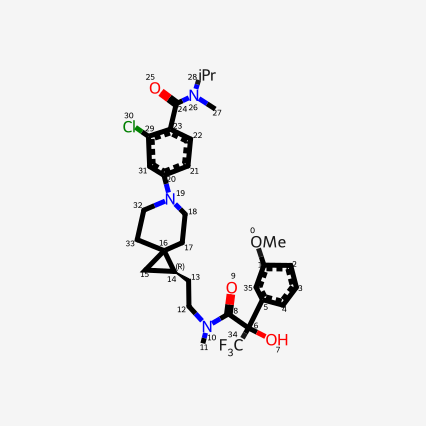 COc1cccc(C(O)(C(=O)N(C)CC[C@H]2CC23CCN(c2ccc(C(=O)N(C)C(C)C)c(Cl)c2)CC3)C(F)(F)F)c1